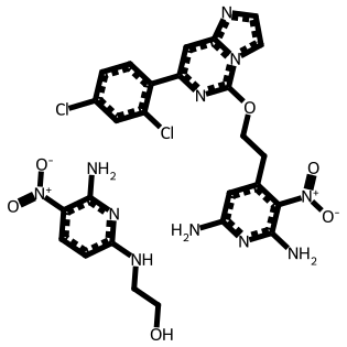 Nc1cc(CCOc2nc(-c3ccc(Cl)cc3Cl)cc3nccn23)c([N+](=O)[O-])c(N)n1.Nc1nc(NCCO)ccc1[N+](=O)[O-]